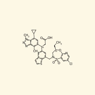 CC[C@@H]1CN(Cc2cc([C@H](CC(=O)O)c3cc(C4CC4)c4c(nnn4C)c3C)cc3ccsc23)S(=O)(=O)c2cc(Cl)cnc2O1